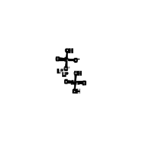 O=P([O-])([O-])O.[Li+].[Li+].[O]=[Mn](=[O])([OH])[OH]